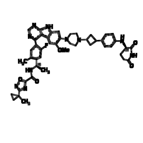 COc1cc2c(cc1N1CCN(C3CC(c4ccc(N[C@@H]5CCC(=O)NC5=O)cc4)C3)CC1)[nH]c1ncnc(-c3cc(C)c([C@@H](C)NC(=O)c4nc(C5(C)CC5)no4)cc3F)c12